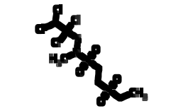 CCS(=O)(=O)CCS(=O)(=O)N(C)SC(Cl)(Cl)C(Cl)Cl